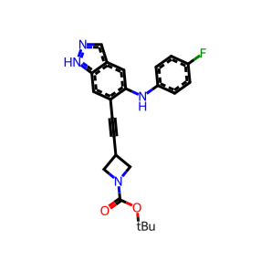 CC(C)(C)OC(=O)N1CC(C#Cc2cc3[nH]ncc3cc2Nc2ccc(F)cc2)C1